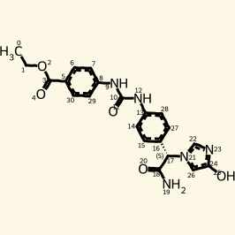 CCOC(=O)c1ccc(NC(=O)Nc2ccc([C@@H](C(N)=O)n3cnc(O)c3)cc2)cc1